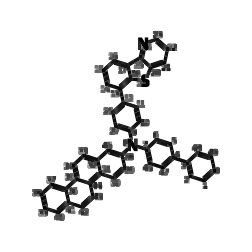 c1ccc(-c2ccc(N(c3ccc(-c4cccc5c4sc4cccnc45)cc3)c3ccc4c(ccc5c6ccccc6ccc45)c3)cc2)cc1